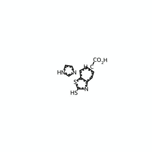 CC(=O)O.Sc1nc2ccccc2s1.c1c[nH]cn1